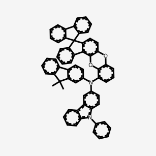 CC1(C)c2ccccc2-c2ccc(N(c3ccc4c(c3)c3ccccc3n4-c3ccccc3)c3cccc4c3Oc3c(ccc5c3-c3ccccc3C53c5ccccc5-c5ccccc53)O4)cc21